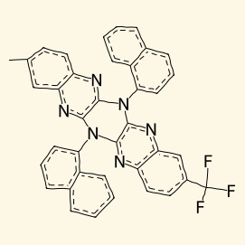 Cc1ccc2nc3c(nc2c1)N(c1cccc2ccccc12)c1nc2ccc(C(F)(F)F)cc2nc1N3c1cccc2ccccc12